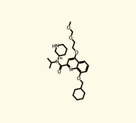 COCOCCOc1cc(C(=O)N(C(C)C)[C@@H]2CCCNC2)nc2c(OCC3CCCCC3)cccc12